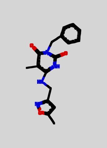 Cc1cc(CNc2[nH]c(=O)n(Cc3ccccc3)c(=O)c2C)no1